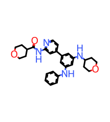 O=C(Nc1cc(-c2cc(Nc3ccccc3)cc(NC3CCOCC3)c2)ccn1)C1CCOCC1